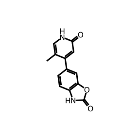 Cc1c[nH]c(=O)cc1-c1ccc2[nH]c(=O)oc2c1